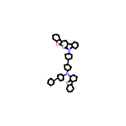 c1ccc(-c2ccc(N(c3ccc(-c4ccc(-n5c6ccccc6c6cc7c(cc65)oc5ccccc57)cc4)cc3)c3cccc4c3sc3ccccc34)cc2)cc1